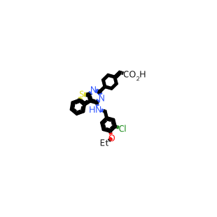 CCOc1ccc(CNc2nc(C3CCC(=CC(=O)O)CC3)nc3sc4ccccc4c23)cc1Cl